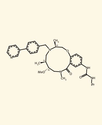 CO[C@H]1CN(C)C(=O)c2cc(NC(=O)NC(C)C)ccc2OC[C@H](C)N(Cc2ccc(-c3cccnc3)cc2)C[C@@H]1C